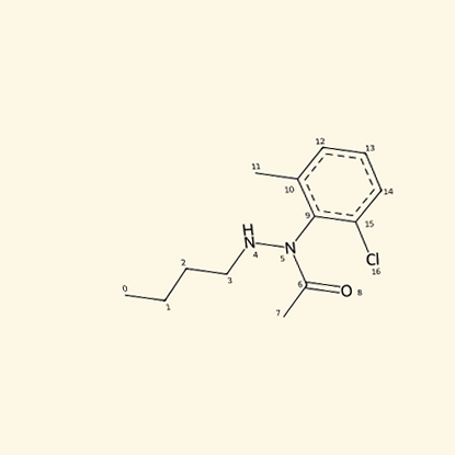 CCCCNN(C(C)=O)c1c(C)cccc1Cl